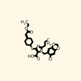 CCCc1nc(SC2CCC(=CC(=O)OCC)CC2)c(C(=O)O)n1Cc1cc2c(cc1Cl)OCO2